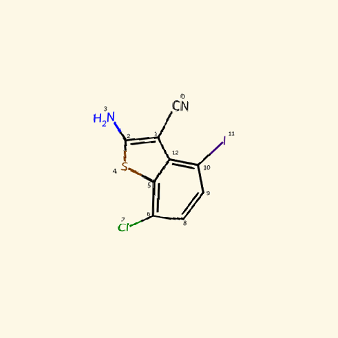 N#Cc1c(N)sc2c(Cl)ccc(I)c12